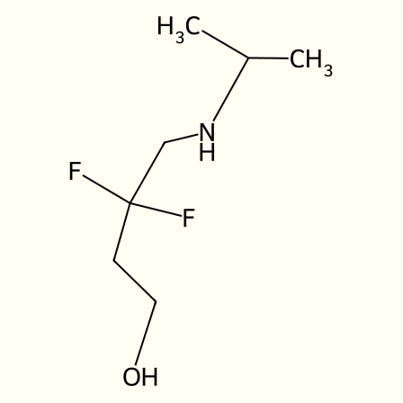 CC(C)NCC(F)(F)CCO